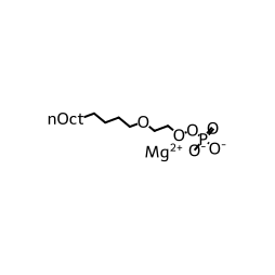 CCCCCCCCCCCCOCCOOP(=O)([O-])[O-].[Mg+2]